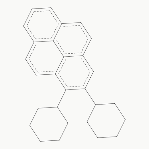 c1cc2ccc3cc(C4CCCCC4)c(C4CCCCC4)c4ccc(c1)c2c34